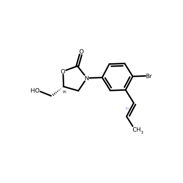 C/C=C/c1cc(N2C[C@H](CO)OC2=O)ccc1Br